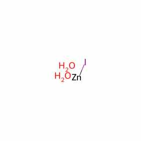 O.O.[Zn][I]